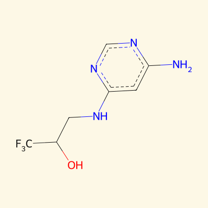 Nc1cc(NCC(O)C(F)(F)F)ncn1